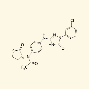 O=C1SCC[C@H]1N(C(=O)C(F)(F)F)c1ccc(Nc2nn(-c3cccc(Cl)c3)c(=O)[nH]2)cc1